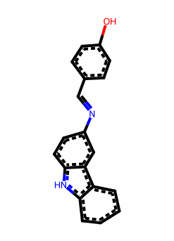 Oc1ccc(/C=N/c2ccc3[nH]c4ccccc4c3c2)cc1